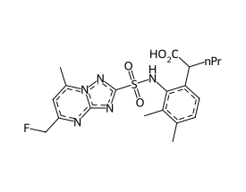 CCCC(C(=O)O)c1ccc(C)c(C)c1NS(=O)(=O)c1nc2nc(CF)cc(C)n2n1